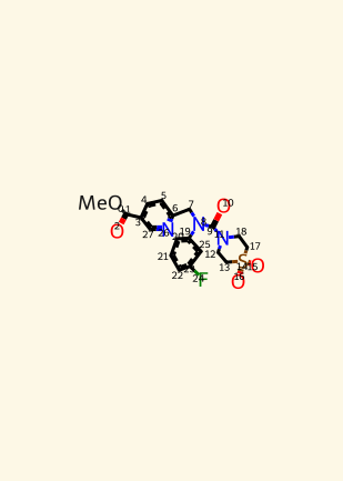 COC(=O)c1ccc(CN(C(=O)N2CCS(=O)(=O)CC2)c2cccc(F)c2)nc1